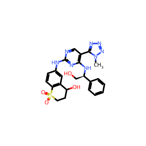 Cn1nnnc1-c1cnc(Nc2ccc3c(c2)C(O)CCS3(=O)=O)nc1N[C@H](CO)c1ccccc1